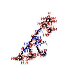 CC(=O)CN(CC(=O)NCCCCCC(=O)ON1C(=O)CCC1=O)CC(=O)N[C@@H](CCC(=O)NCCO[C@H]1O[C@H](CO[C@H]2O[C@H](CO)C[C@H](O)[C@@H]2O)[C@@H](O)[C@H](O[C@H]2O[C@H](CO)[C@@H](O)[C@H](O)[C@@H]2O)[C@@H]1O)C(=O)NCCCC(=O)N[C@@H](CCC(=O)NCCO[C@H]1O[C@H](CO)C[C@H](O)[C@@H]1O)C(=O)NCCO[C@H]1O[C@H](CO)[C@@H](O)[C@H](C=O)[C@@H]1O